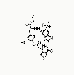 CCOC(=O)[C@@H](N)Cc1ccc(OC(=O)Cc2nn(Cc3nc4cc(C(F)(F)F)ccc4s3)c(=O)c3cscc23)cc1.Cl